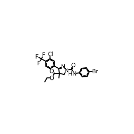 CCOC(=O)C1(C)CN(C(=O)Nc2ccc(Br)cc2)N=C1c1ccc(C(F)(F)F)c(Cl)c1